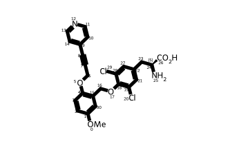 COc1ccc(OCC#Cc2ccncc2)c(COc2c(Cl)cc(C[C@H](N)C(=O)O)cc2Cl)c1